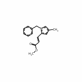 COC(=O)/C=C/c1cc(C)cn1Cc1ccccc1